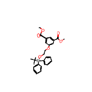 COC(=O)c1cc(OCCO[Si](c2ccccc2)(c2ccccc2)C(C)(C)C)cc(C(=O)OC)c1